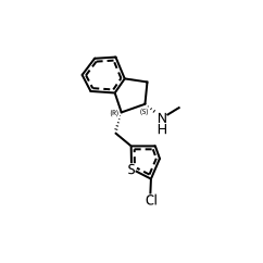 CN[C@H]1Cc2ccccc2[C@H]1Cc1ccc(Cl)s1